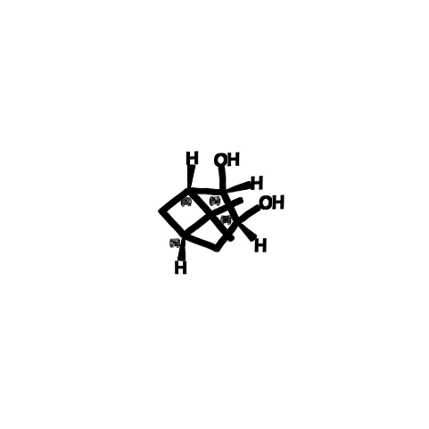 CC1(C)[C@@H]2C[C@@H](O)[C@@H](O)[C@H]1C2